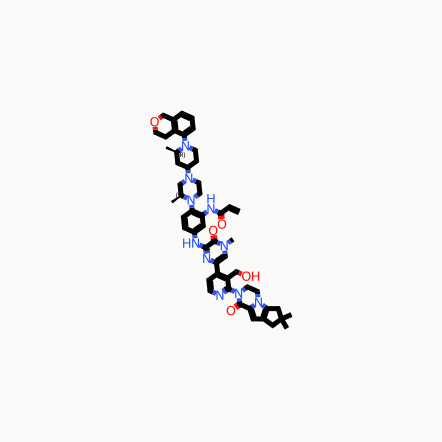 C=CC(=O)Nc1cc(Nc2nc(-c3ccnc(N4CCn5c(cc6c5CC(C)(C)C6)C4=O)c3CO)cn(C)c2=O)ccc1N1CCN(C2CCN(c3cccc4c3CCOC4)[C@H](C)C2)C[C@@H]1C